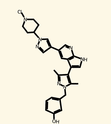 Cc1nn(Cc2cccc(O)c2)c(C)c1-c1c[nH]c2ncc(-c3cnn(C4CCN(Cl)CC4)c3)cc12